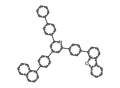 c1ccc(-c2ccc(-c3cc(-c4ccc(-c5cccc6ccccc56)cc4)cc(-c4ccc(-c5cccc6c5oc5ccccc56)cc4)n3)cc2)cc1